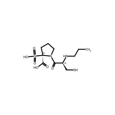 CCCN[C@@H](CS)C(=O)N1CCC[C@]1(C(=O)O)S(=O)(=O)O